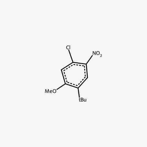 COc1cc(Cl)c([N+](=O)[O-])cc1C(C)(C)C